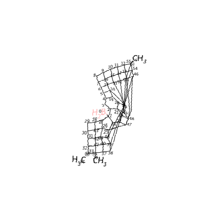 BC12C3CC4C5C6C7CC8C9C%10C%11C%12%13C%10%14C9%10C78C67C56C4C4C35C3C8C1C19C%15%16C2C2CC%17C%18C%19[C@@H](C)C%20(C)C%21C%22C%23%24C%21%25C%19%20C%18(C%172%15)C%16%25C1%23C1(C89C32C53C46C7%10C%143C2%121)C%24%13[C@]%22%11C